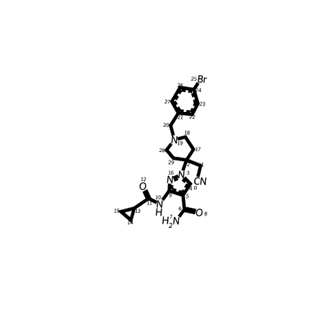 N#CCC1(n2cc(C(N)=O)c(NC(=O)C3CC3)n2)CCN(Cc2ccc(Br)cc2)CC1